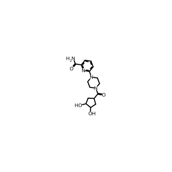 NC(=O)c1[c]ccc(N2CCN(C(=O)C3CC(O)C(O)C3)CC2)n1